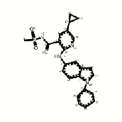 CS(=O)(=O)NC(=O)c1cc(C2CC2)cnc1Nc1ccc2c(ccn2-c2ccccc2)c1